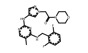 Cc1cnc(Nc2cnn(CC(=O)N3CCOCC3)c2)nc1NCc1c(F)cccc1F